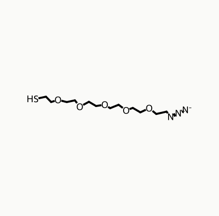 [N-]=[N+]=NCCOCCOCCOCCOCCOCCS